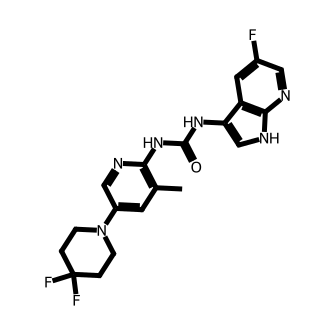 Cc1cc(N2CCC(F)(F)CC2)cnc1NC(=O)Nc1c[nH]c2ncc(F)cc12